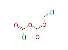 O=C(Cl)OC(=O)OCCl